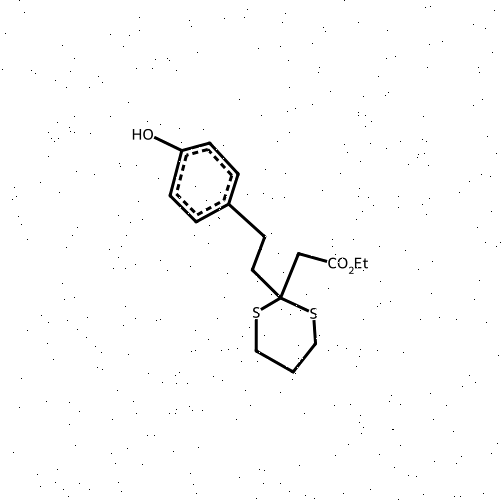 CCOC(=O)CC1(CCc2ccc(O)cc2)SCCCS1